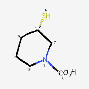 O=C(O)N1CCC[C@H](S)C1